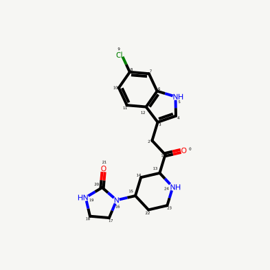 O=C(Cc1c[nH]c2cc(Cl)ccc12)C1CC(N2CCNC2=O)CCN1